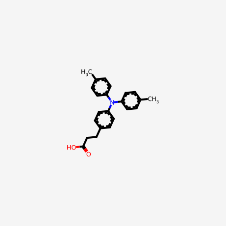 Cc1ccc(N(c2ccc(C)cc2)c2ccc(CCC(=O)O)cc2)cc1